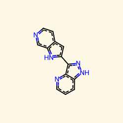 c1cnc2c(-c3cc4ccncc4[nH]3)n[nH]c2c1